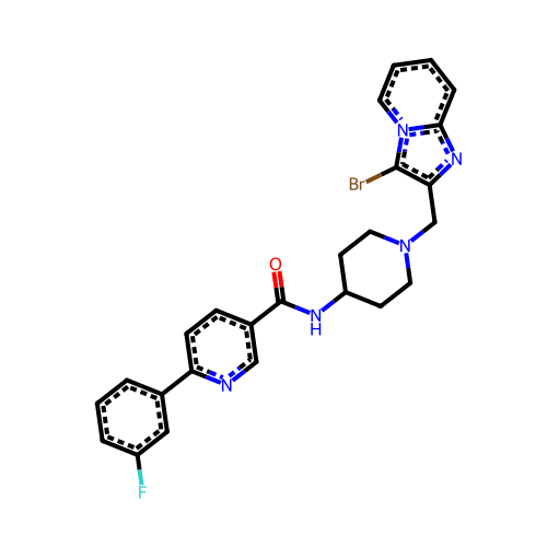 O=C(NC1CCN(Cc2nc3ccccn3c2Br)CC1)c1ccc(-c2cccc(F)c2)nc1